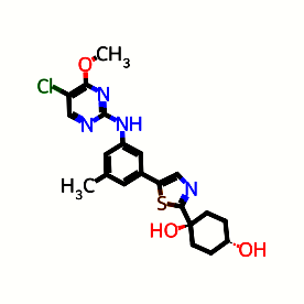 COc1nc(Nc2cc(C)cc(-c3cnc([C@]4(O)CC[C@H](O)CC4)s3)c2)ncc1Cl